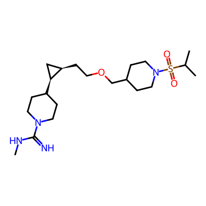 CNC(=N)N1CCC([C@H]2C[C@H]2CCOCC2CCN(S(=O)(=O)C(C)C)CC2)CC1